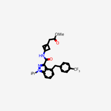 COC(=O)CC12CC(NC(=O)c3nn(C(C)C)c4cccc(Cc5ccc(C(F)(F)F)cc5)c34)(C1)C2